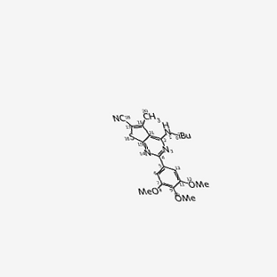 CCC(C)Nc1nc(-c2cc(OC)c(OC)c(OC)c2)nc2sc(C#N)c(C)c12